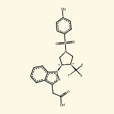 O=C(O)Cc1nn([C@H]2CN(S(=O)(=O)c3ccc(O)cc3)C[C@H]2C(F)(F)F)c2ccccc12